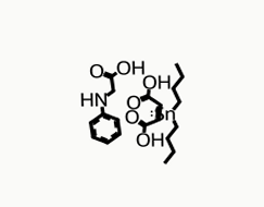 CCC[CH2][Sn][CH2]CCC.O=C(O)/C=C\C(=O)O.O=C(O)CNc1ccccc1